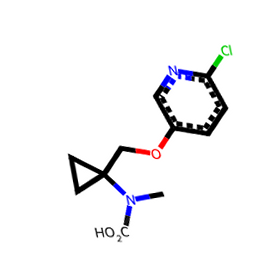 CN(C(=O)O)C1(COc2ccc(Cl)nc2)CC1